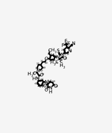 CCc1cc(N2C(=S)N(c3cnc(C#N)c(C(F)(F)F)c3)C(=O)C2(C)C)ccc1OCCC1CCN([C@H](C)C(=O)Nc2cccc(N[C@]3(O)CCC(=O)NC3=O)c2)CC1